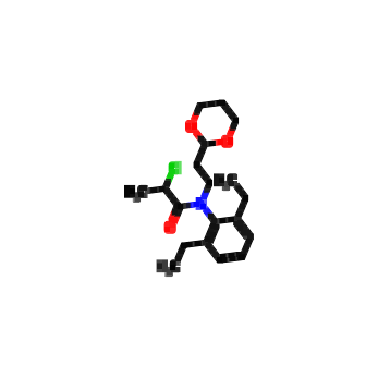 CCc1cccc(CC)c1N(CCC1OCCCO1)C(=O)C(C)Cl